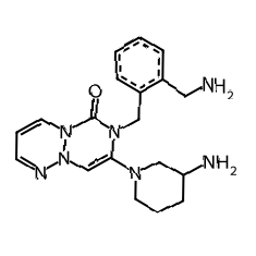 NCc1ccccc1CN1C(=O)N2C=CC=NN2C=C1N1CCCC(N)C1